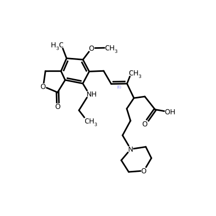 CCNc1c(C/C=C(\C)C(CCCN2CCOCC2)CC(=O)O)c(OC)c(C)c2c1C(=O)OC2